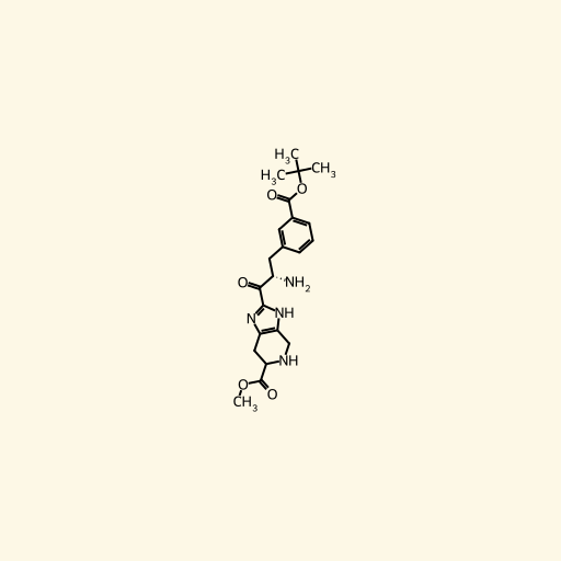 COC(=O)C1Cc2nc(C(=O)[C@@H](N)Cc3cccc(C(=O)OC(C)(C)C)c3)[nH]c2CN1